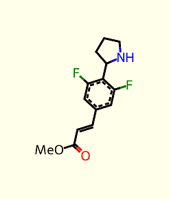 COC(=O)C=Cc1cc(F)c(C2CCCN2)c(F)c1